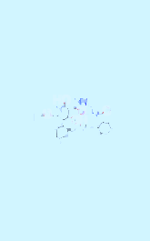 CCOCc1nc(O)c(-c2nnc(CNC(=O)c3ccccc3)o2)c(O)c1-c1ccccc1OC